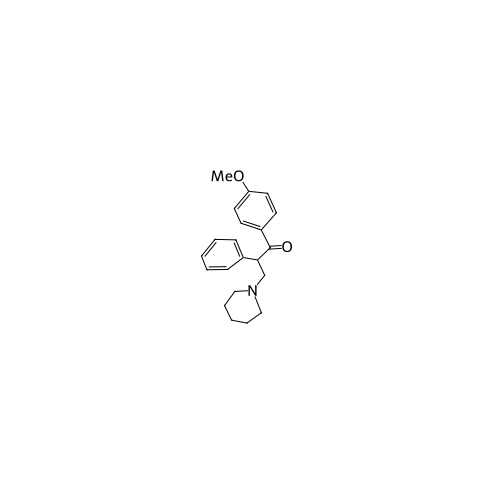 COc1ccc(C(=O)C(CN2CCCCC2)c2ccccc2)cc1